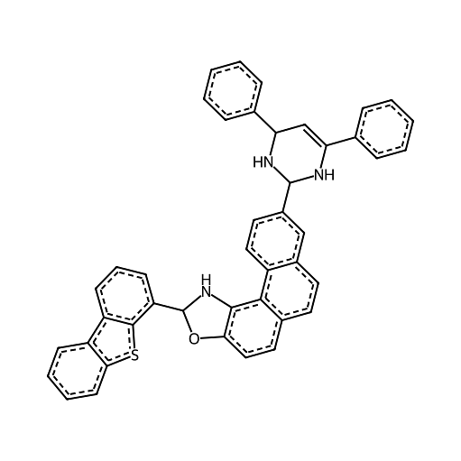 C1=C(c2ccccc2)NC(c2ccc3c(ccc4ccc5c(c43)NC(c3cccc4c3sc3ccccc34)O5)c2)NC1c1ccccc1